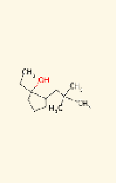 CCC1(O)CCCC1CC(C)(C)C